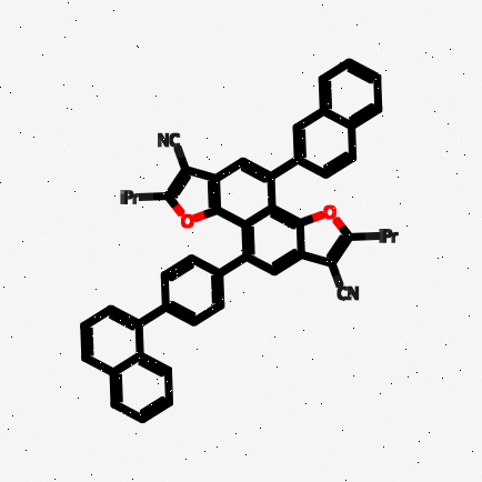 CC(C)c1oc2c(cc(-c3ccc4ccccc4c3)c3c4oc(C(C)C)c(C#N)c4cc(-c4ccc(-c5cccc6ccccc56)cc4)c23)c1C#N